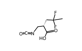 CC(F)(F)C[C@@H](CN=C=O)C(=O)O